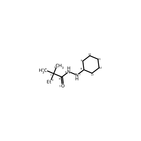 CCC(C)(C)C(=O)NNC1CCCCC1